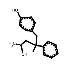 CC(Cc1ccc(O)cc1)(C[C@H](N)O)c1ccccc1